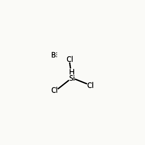 Cl[SiH](Cl)Cl.[B]